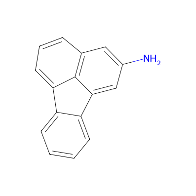 Nc1cc2c3c(cccc3c1)-c1ccccc1-2